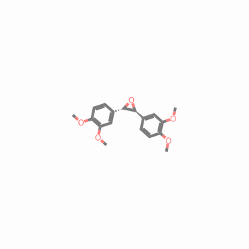 COc1ccc([C@@H]2O[C@H]2c2ccc(OC)c(OC)c2)cc1OC